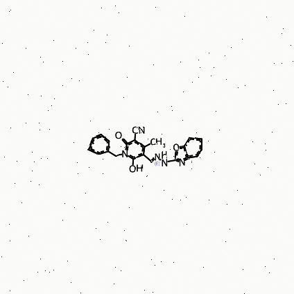 Cc1c(/C=N/Nc2nc3ccccc3o2)c(O)n(Cc2ccccc2)c(=O)c1C#N